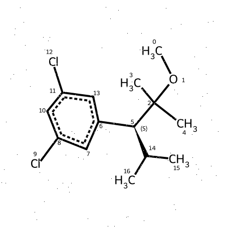 COC(C)(C)[C@H](c1cc(Cl)cc(Cl)c1)C(C)C